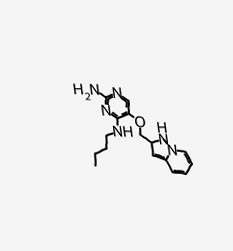 CCCCNc1nc(N)ncc1OCC1C=C2C=CC=CN2N1